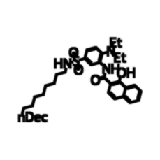 CCCCCCCCCCCCCCCCCCNS(=O)(=O)c1ccc(N(CC)CC)c(NC(=O)c2ccc3ccccc3c2O)c1